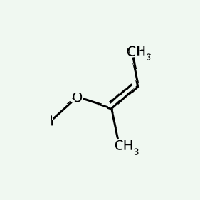 CC=C(C)OI